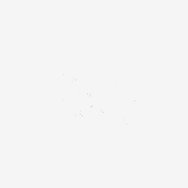 CC(C)(C)NC(=O)NC(=N)Nc1cc(F)ccc1F